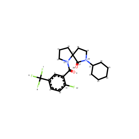 O=C(c1cc(C(F)(F)F)ccc1F)N1CCCC12CCN(C1CCCCC1)C2=O